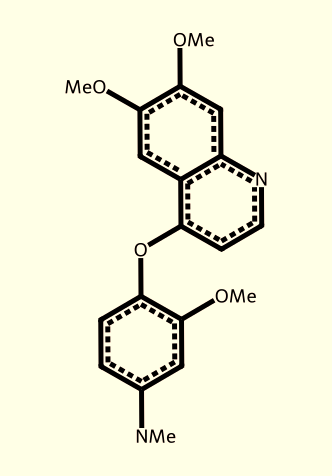 CNc1ccc(Oc2ccnc3cc(OC)c(OC)cc23)c(OC)c1